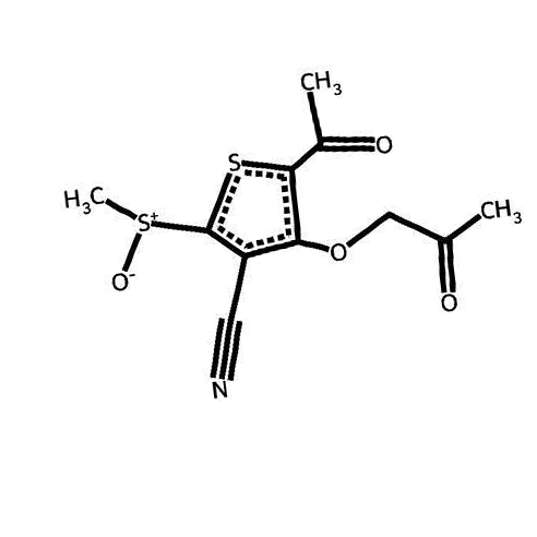 CC(=O)COc1c(C(C)=O)sc([S+](C)[O-])c1C#N